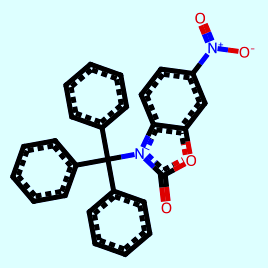 O=c1oc2cc([N+](=O)[O-])ccc2n1C(c1ccccc1)(c1ccccc1)c1ccccc1